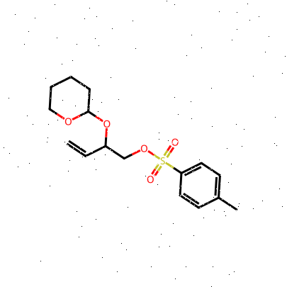 C=CC(COS(=O)(=O)c1ccc(C)cc1)OC1CCCCO1